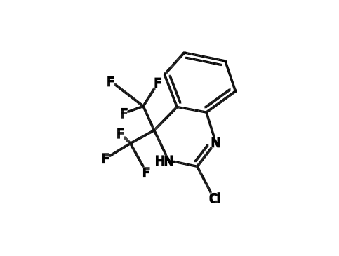 FC(F)(F)C1(C(F)(F)F)NC(Cl)=Nc2ccccc21